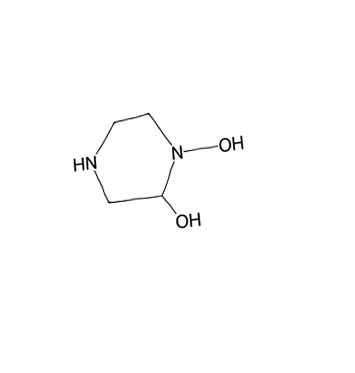 OC1CNCCN1O